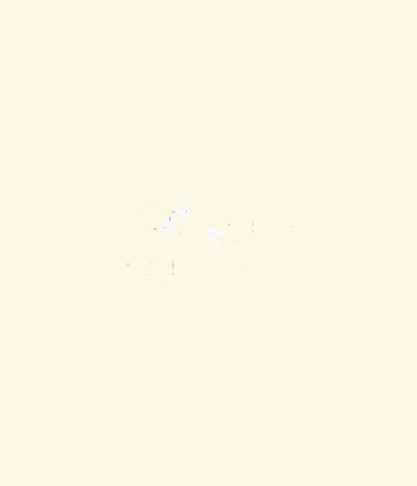 COc1ccc(Br)cc1Cc1c(C[N+](C=O)(CCC(C)C)c2ccc(OC)c(OC)c2Cl)nc2ccccn12